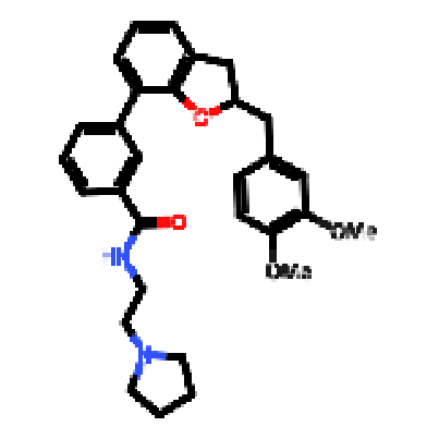 COc1ccc(CC2Cc3cccc(-c4cccc(C(=O)NCCN5CCCC5)c4)c3O2)cc1OC